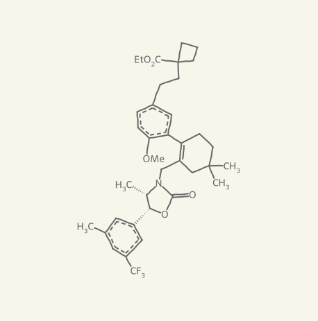 CCOC(=O)C1(CCc2ccc(OC)c(C3=C(CN4C(=O)O[C@H](c5cc(C)cc(C(F)(F)F)c5)[C@@H]4C)CC(C)(C)CC3)c2)CCC1